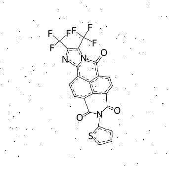 O=C1c2ccc3c(=O)n4c(C(F)(F)F)c(C(F)(F)F)nc4c4ccc(c2c34)C(=O)N1c1cccs1